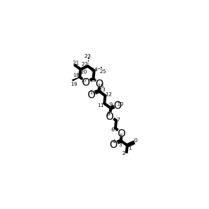 C=C(C)C(=O)OCCOC(=O)CCC(=O)O[C@H]1O[C@@H](C)C(C)[C@H](C)[C@@H]1C